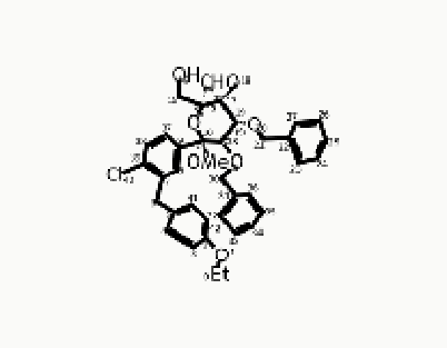 CCOc1ccc(Cc2cc([C@]3(OC)O[C@@](C=O)(CO)[C@@H](C)[C@H](OCc4ccccc4)[C@H]3OCc3ccccc3)ccc2Cl)cc1